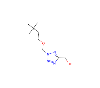 C[Si](C)(C)CCOCn1nnc(CO)n1